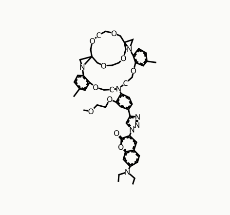 CCN(CC)c1ccc2cc(-n3cc(-c4ccc(N5CCOc6cc(C)ccc6N6CC67COCCOCC6(COCCOC7)CN6c6ccc(C)cc6OCC5)c(OCCOC)c4)nn3)c(=O)oc2c1